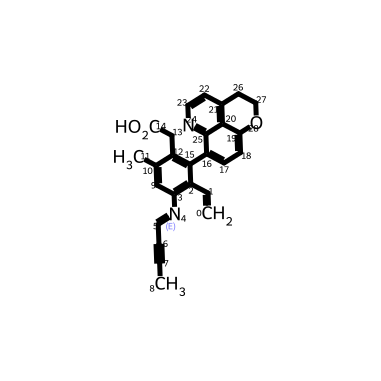 C=Cc1c(/N=C/C#CC)cc(C)c(CC(=O)O)c1-c1ccc2c3c(ccnc13)CCO2